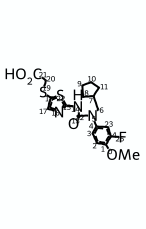 COc1ccc(N(CC2CCCC2)C(=O)Nc2ncc(SCC(=O)O)s2)cc1F